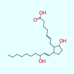 CCCCCCCC(O)C=CC1CCC(O)C1CC=CCCCC(=O)O